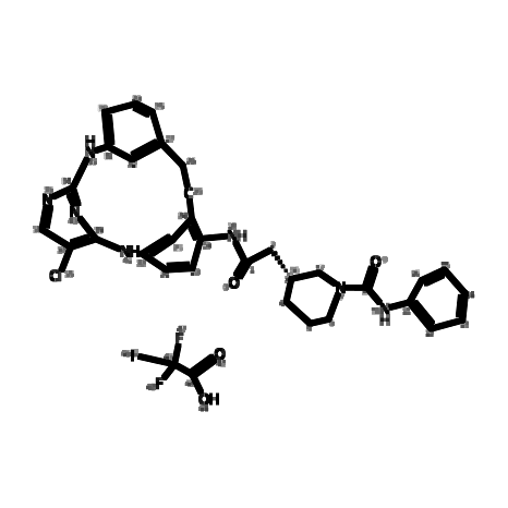 O=C(C[C@H]1CCCN(C(=O)Nc2ccccc2)C1)Nc1ccc2cc1CCc1cccc(c1)Nc1ncc(Cl)c(n1)N2.O=C(O)C(F)(F)F